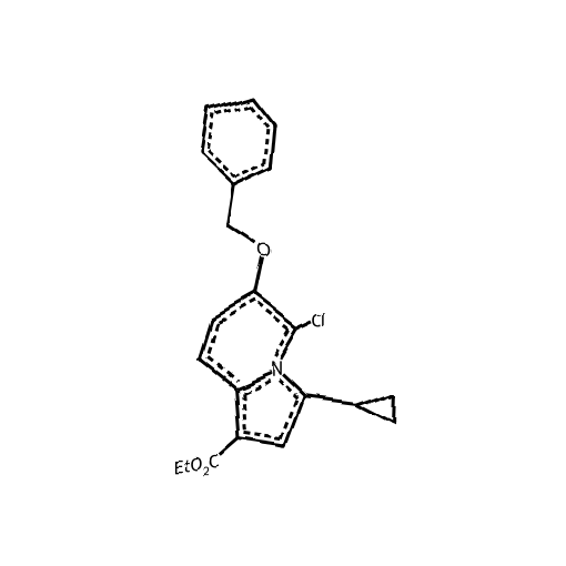 CCOC(=O)c1cc(C2CC2)n2c(Cl)c(OCc3ccccc3)ccc12